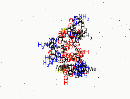 COCCO[C@H]1C(OP(=O)(O)OC[C@H]2O[C@@H](n3cnc4c(N)ncnc43)CC2OP(=O)(S)OC[C@H]2O[C@@H](n3cc(C)c(N)nc3=O)CC2OP(=O)(S)OC)[C@@H](COP(=O)(O)OC2[C@H](OCCOC)C(n3cnc4c(N)ncnc43)O[C@@H]2COP(=O)(O)OC2[C@H](OCCOC)C(n3cnc4c(=O)[nH]c(N)nc43)O[C@@H]2COP(=O)(S)OC2[C@H](OCCOC)C(n3cnc4c(=O)[nH]c(N)nc43)O[C@@H]2CO)OC1n1cc(C)c(=O)[nH]c1=O